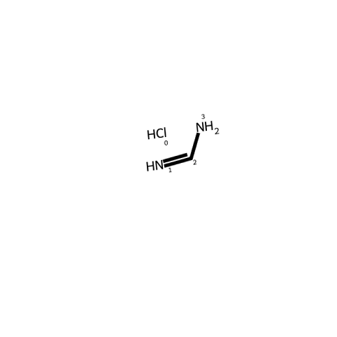 Cl.N=CN